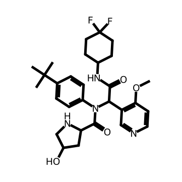 COc1ccncc1C(C(=O)NC1CCC(F)(F)CC1)N(C(=O)C1CC(O)CN1)c1ccc(C(C)(C)C)cc1